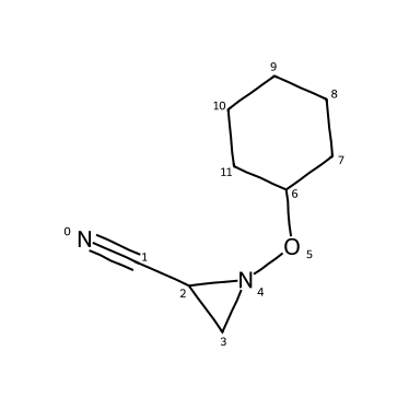 N#CC1CN1OC1CCCCC1